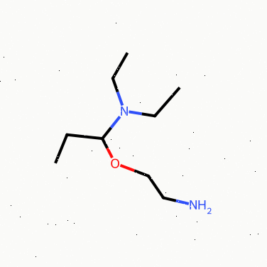 CCC(OCCN)N(CC)CC